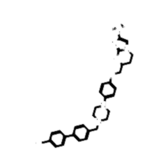 O=[N+]([O-])c1cn2c(n1)OC(COc1ccc(N3CCN(Cc4ccc(-c5ccc(Cl)cc5)cc4)CC3)cc1)CC2